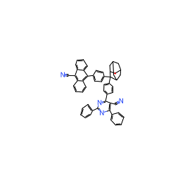 N#Cc1c(-c2ccccc2)nc(-c2ccccc2)nc1-c1ccc(C2(c3ccc(-c4c5ccccc5c(C#N)c5ccccc45)cc3)C3CC4CC(C3)CC2C4)cc1